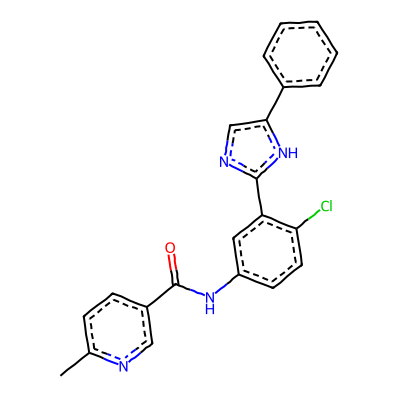 Cc1ccc(C(=O)Nc2ccc(Cl)c(-c3ncc(-c4ccccc4)[nH]3)c2)cn1